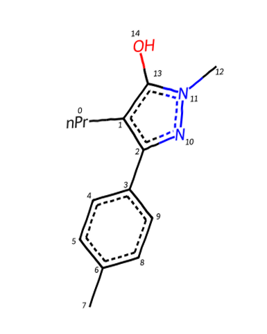 CCCc1c(-c2ccc(C)cc2)nn(C)c1O